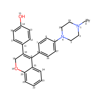 CC(C)N1CCN(c2ccc(C3=C(c4ccc(O)cc4)COc4ccccc43)cc2)CC1